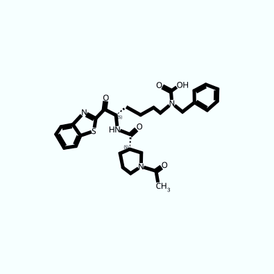 CC(=O)N1CCC[C@H](C(=O)N[C@@H](CCCCN(Cc2ccccc2)C(=O)O)C(=O)c2nc3ccccc3s2)C1